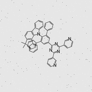 CC1(C)c2ccccc2-c2c1ccc1c3ccccc3n(-c3c(-c4ccccc4)cc(-c4nc(-c5cccnc5)nc(-c5cccnc5)n4)cc3-c3ccccc3)c21